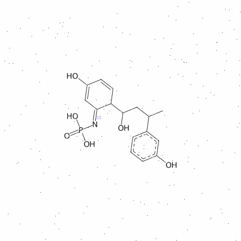 CC(CC(O)C1C=CC(O)=C/C1=N\P(=O)(O)O)c1cccc(O)c1